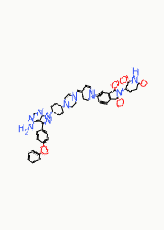 Nc1ncnc2c1c(-c1ccc(Oc3ccccc3)cc1)nn2C1CCC(N2CCN(CC3CCN(c4ccc5c(c4)C(=O)N(C4CCC(=O)NC4=O)C5=O)CC3)CC2)CC1